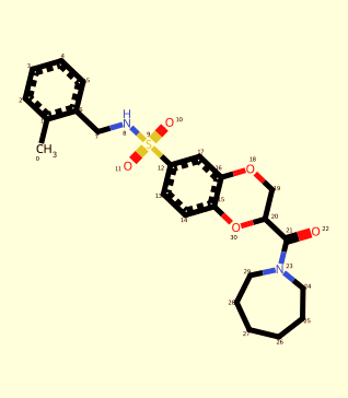 Cc1ccccc1CNS(=O)(=O)c1ccc2c(c1)OCC(C(=O)N1CCCCCC1)O2